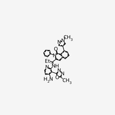 CC[C@H](Nc1nccc(N)c1-c1nnc(C)o1)c1cc2cccc(-c3cnn(C)c3)c2c(=O)n1-c1ccccc1